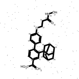 C=C(C(=O)O)c1ccc(-c2ccc(OCCC(=O)NO)cc2)c(C23CC4CC(CC(C4)C2)C3)c1